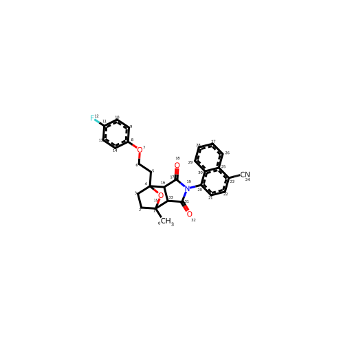 CC12CCC(CCOc3ccc(F)cc3)(O1)C1C(=O)N(c3ccc(C#N)c4ccccc34)C(=O)C12